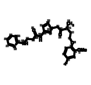 COc1cc(F)ccc1OCCN(C)C(=O)Cn1cc(NC(=O)CCNc2ncccn2)cn1